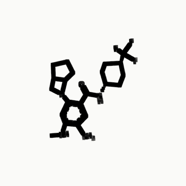 CNc1cc(N2CC3CCCC32)c(C(=O)N[C@H]2CC[C@H](C(F)(F)F)CC2)cc1N